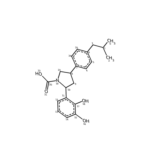 CC(C)Cc1ccc(C2CC(c3cccc(O)c3O)N(C(=O)O)C2)cc1